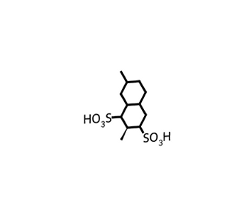 CC1CCC2CC(S(=O)(=O)O)[C@@H](C)C(S(=O)(=O)O)C2C1